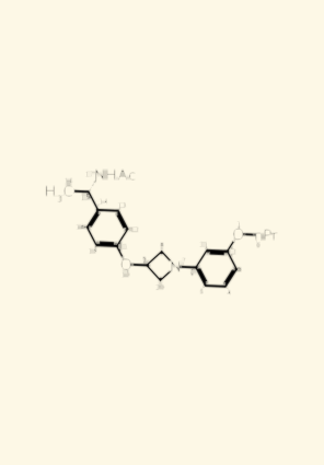 CCCOc1cccc(N2CC(Oc3ccc([C@H](C)NC(C)=O)cc3)C2)c1